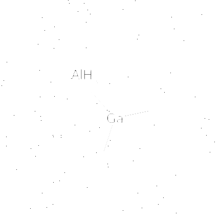 [AlH3].[CH3][Ga]([CH3])[CH3]